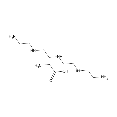 CCC(=O)O.NCCNCCNCCNCCN